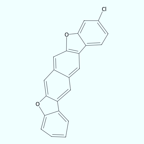 Clc1ccc2c(c1)oc1cc3cc4oc5ccccc5c4cc3cc12